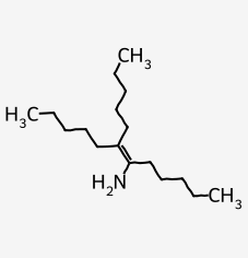 CCCCCC(N)=C(CCCCC)CCCCC